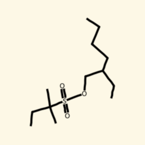 CCCCC(CC)COS(=O)(=O)C(C)(C)CC